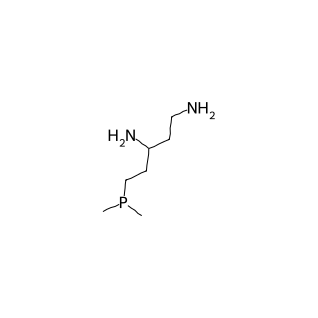 CP(C)CCC(N)CCN